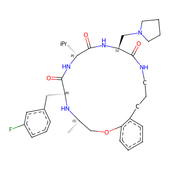 CC(C)[C@H]1NC(=O)[C@@H](Cc2cccc(F)c2)N[C@@H](C)COc2ccccc2CCCNC(=O)[C@H](CN2CCCC2)NC1=O